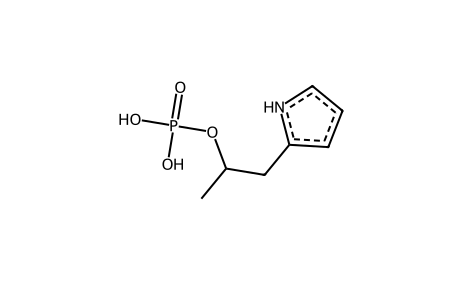 CC(Cc1ccc[nH]1)OP(=O)(O)O